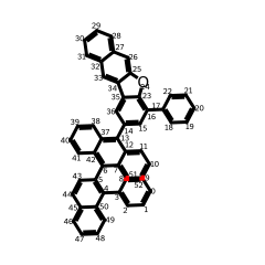 c1ccc(-c2c(-c3c4ccccc4c(-c4cc(-c5ccccc5)c5oc6cc7ccccc7cc6c5c4)c4ccccc34)ccc3ccccc23)cc1